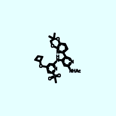 CC(=O)Nc1cc(Nc2cc(OC3CCC3)cc(S(C)(=O)=O)n2)c(-c2ccc3c(n2)OCC(C)(C)O3)cn1